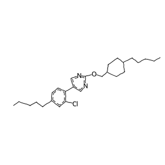 CCCCCc1ccc(-c2cnc(OCC3CCC(CCCCC)CC3)nc2)c(Cl)c1